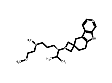 COCCN(C)CCC[C@H](C(C)C)N1CC2(CCc3[nH]c4cnccc4c3C2)C1